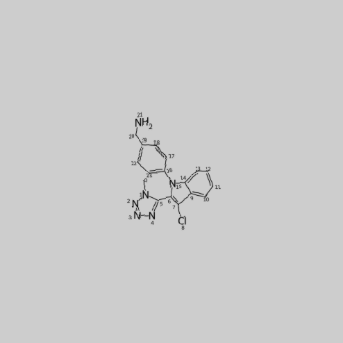 Cn1nnnc1-c1c(Cl)c2ccccc2n1-c1ccc(CN)cc1